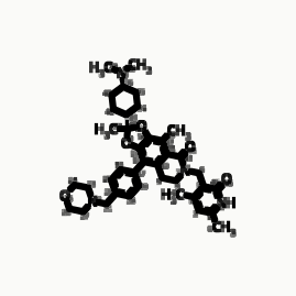 Cc1cc(C)c(CN2CCc3c(c(C)c4c(c3-c3ccc(CN5CCOCC5)cc3)OC(C)([C@H]3CC[C@H](N(C)C)CC3)O4)C2=O)c(=O)[nH]1